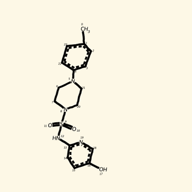 Cc1ccc(N2CCN(S(=O)(=O)Nc3ccc(O)cn3)CC2)cc1